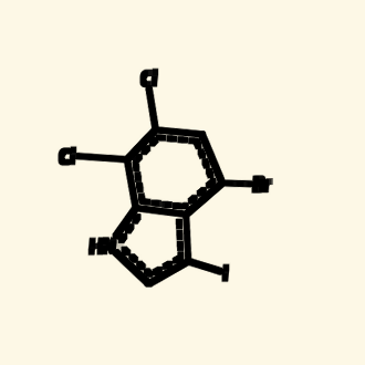 Clc1cc(Br)c2c(I)c[nH]c2c1Cl